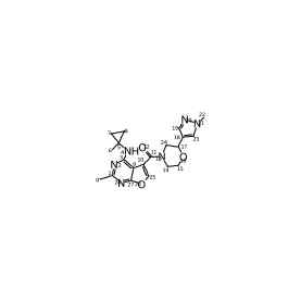 Cc1nc(NC2(C)CC2)c2c(C(=O)N3CCOC(c4cnn(C)c4)C3)coc2n1